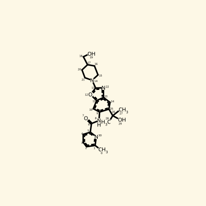 Cc1cccc(C(=O)Nc2cc3oc(N4CCC(CO)CC4)nc3cc2C(C)(C)O)n1